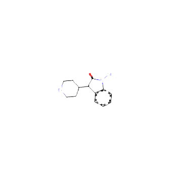 NN1C(=O)C(C2CCNCC2)c2ccccc21